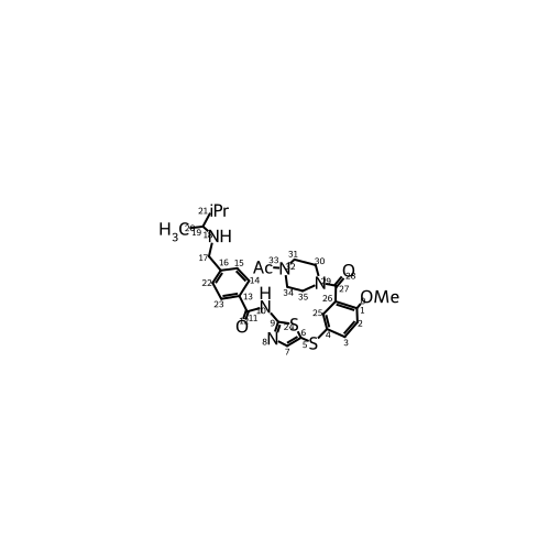 COc1ccc(Sc2cnc(NC(=O)c3ccc(CNC(C)C(C)C)cc3)s2)cc1C(=O)N1CCN(C(C)=O)CC1